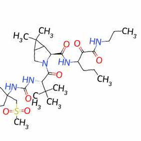 CCCNC(=O)C(=O)C(CCC)NC(=O)[C@@H]1C2C(CN1C(=O)[C@@H](NC(=O)NC1(CS(C)(=O)=O)CCCCC1)C(C)(C)C)C2(C)C